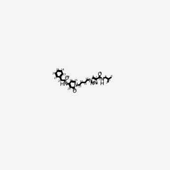 CC(C)CNC(=O)c1cn(CCCCn2ccc(NC(=O)Cc3ccccc3)cc2=O)nn1